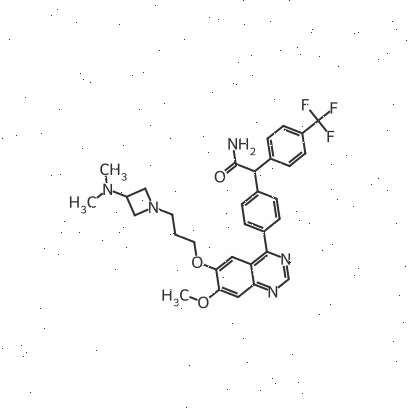 COc1cc2ncnc(-c3ccc(C(C(N)=O)c4ccc(C(F)(F)F)cc4)cc3)c2cc1OCCCN1CC(N(C)C)C1